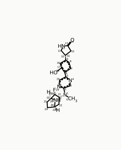 CN(c1cnc(-c2ccc([C@H]3CNC(=O)C3)cc2O)cn1)[C@@H]1C[C@H]2CC[C@H](N2)[C@@H]1F